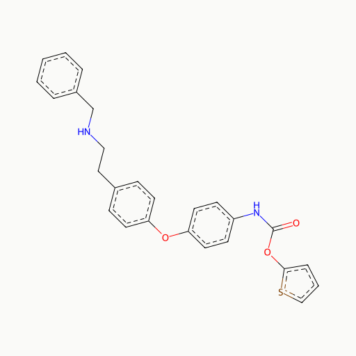 O=C(Nc1ccc(Oc2ccc(CCNCc3ccccc3)cc2)cc1)Oc1cccs1